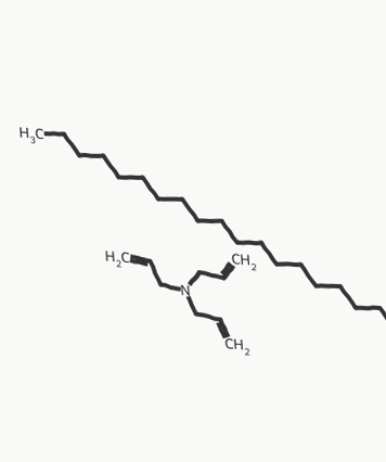 C=CCN(CC=C)CC=C.CCCCCCCCCCCCCCCCCCCl